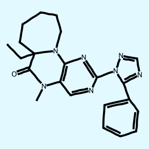 CCC12CCCCCN1c1nc(-n3ncnc3-c3ccccc3)ncc1N(C)C2=O